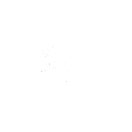 Cn1cnnc1[C@H](c1cc(C#N)cc(-n2cc3c(C(F)(F)F)cc(CN4CCC5(CC5)C4)cn3c2=O)c1)C1CCC1